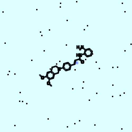 COc1cc2c(cc1OC)CN(c1ccc(/C=C/C(=O)Nc3ccccc3N)cc1)CC2